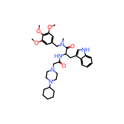 COc1cc(CN(C)C(=O)C(Cc2c[nH]c3ccccc23)NC(=O)CN2CCN(C3CCCCC3)CC2)cc(OC)c1OC